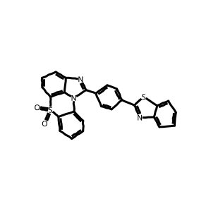 O=S1(=O)c2ccccc2-n2c(-c3ccc(-c4nc5ccccc5s4)cc3)nc3cccc1c32